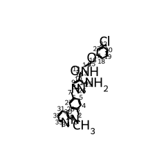 CN(Cc1ccc(Cn2cc(C(=O)NCCOc3cccc(Cl)c3)c(N)n2)cc1)c1ccccn1